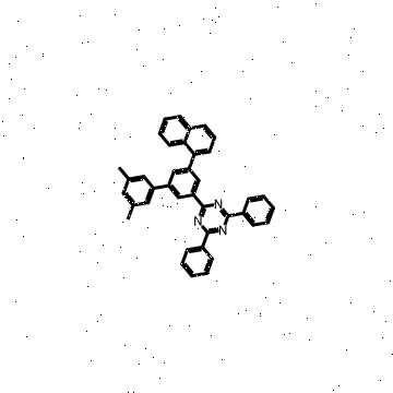 Cc1cc(C)cc(-c2cc(-c3nc(-c4ccccc4)nc(-c4ccccc4)n3)cc(-c3cccc4ccccc34)c2)c1